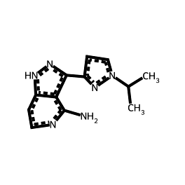 CC(C)n1ccc(-c2n[nH]c3ccnc(N)c23)n1